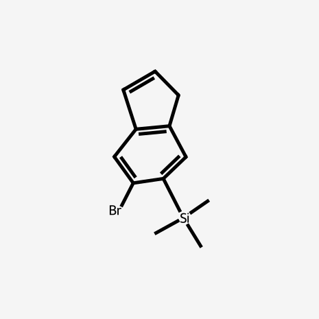 C[Si](C)(C)c1cc2c(cc1Br)C=CC2